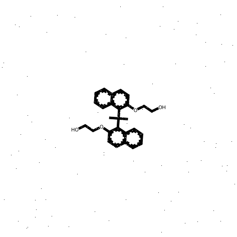 CC(C)(c1c(OCCO)ccc2ccccc12)c1c(OCCO)ccc2ccccc12